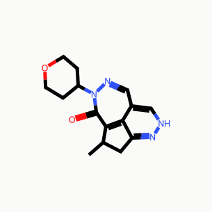 CC1CC2=NNC=C3C=NN(C4CCOCC4)C(=O)C1=C32